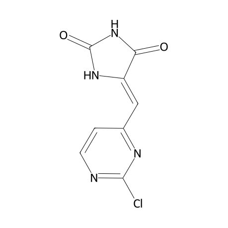 O=C1NC(=O)/C(=C/c2ccnc(Cl)n2)N1